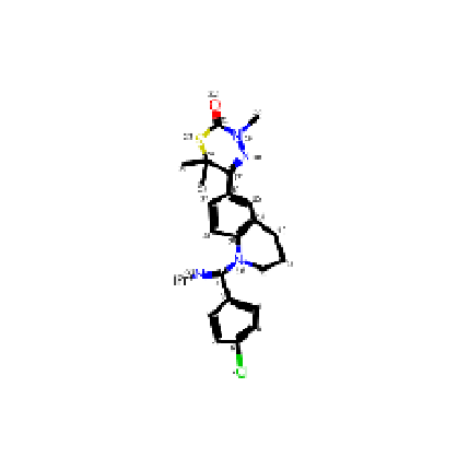 CC(C)N=C(c1ccc(Cl)cc1)N1CCCc2cc(C3=NN(C)C(=O)SC3(C)C)ccc21